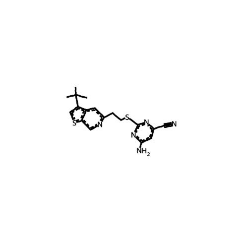 CC(C)(C)c1csc2cnc(CCSc3nc(N)cc(C#N)n3)cc12